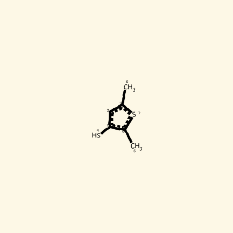 Cc1cc(S)c(C)s1